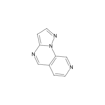 c1cc2cnc3ccnn3c2cn1